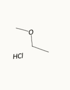 CCOC.Cl